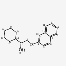 OC(CSc1ccc2ccccc2c1)C1CCCCC1